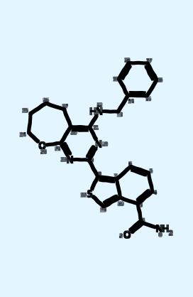 NC(=O)c1cccc2c(-c3nc(NCc4ccccc4)c4c(n3)OCCCC4)scc12